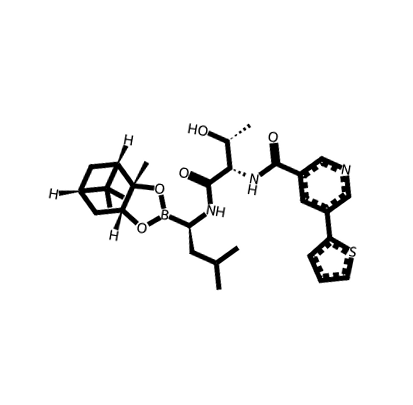 CC(C)C[C@H](NC(=O)[C@@H](NC(=O)c1cncc(-c2cccs2)c1)[C@@H](C)O)B1O[C@@H]2C[C@@H]3C[C@@H](C3(C)C)[C@]2(C)O1